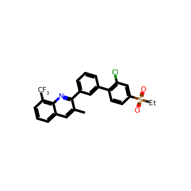 CCS(=O)(=O)c1ccc(-c2cccc(-c3nc4c(C(F)(F)F)cccc4cc3C)c2)c(Cl)c1